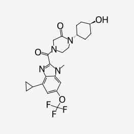 Cn1c(C(=O)N2CCN([C@H]3CC[C@H](O)CC3)C(=O)C2)nc2c(C3CC3)cc(OC(F)(F)F)cc21